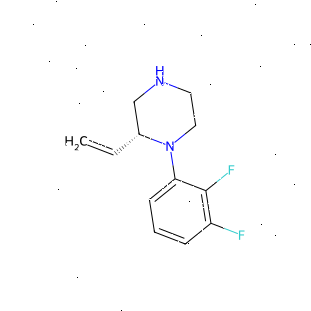 C=C[C@@H]1CNCCN1c1cccc(F)c1F